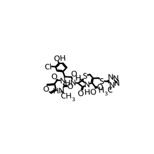 CNC(=O)N(C(=O)c1ccoc1)C(C(=O)NC1C(=O)N2C(C(=O)O)=C(CSc3nnnn3C)CS[C@@H]12)c1ccc(O)c(Cl)c1